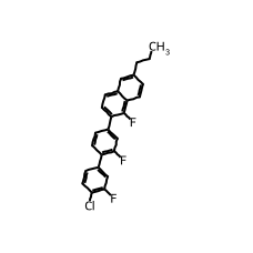 CCCc1ccc2c(F)c(-c3ccc(-c4ccc(Cl)c(F)c4)c(F)c3)ccc2c1